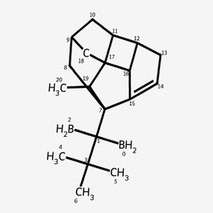 BC(B)(C(C)(C)C)C12CC3CC4C5CC=C1C5C4(C3)C2C